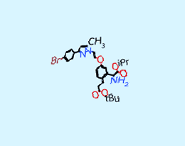 Cc1cc(-c2ccc(Br)cc2)nn1CCOc1ccc(CCC(=O)OC(C)(C)C)c(C(N)C(=O)OC(C)C)c1